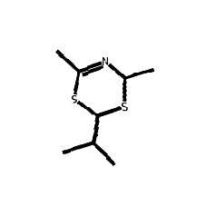 CC1=NC(C)SC(C(C)C)S1